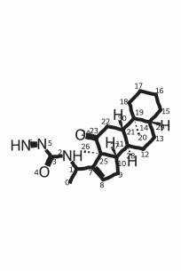 CC(NC(=O)N=N)C1=CC[C@H]2[C@@H]3CC[C@H]4CCCC[C@]4(C)[C@H]3CC(=O)[C@]12C